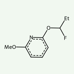 CCC(F)Oc1cccc(OC)n1